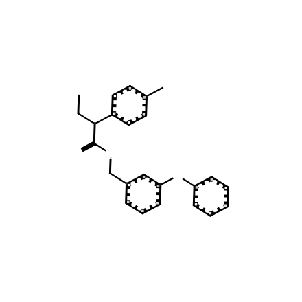 CCC(C(=O)OCc1cccc(Oc2ccccc2)c1)c1ccc(C)cc1